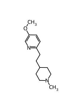 COc1ccc(CCC2CCN(C)CC2)nc1